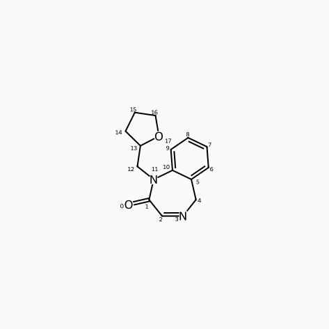 O=C1C=NCc2ccccc2N1CC1CCCO1